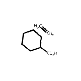 C=C.O=C(O)C1CCCCC1